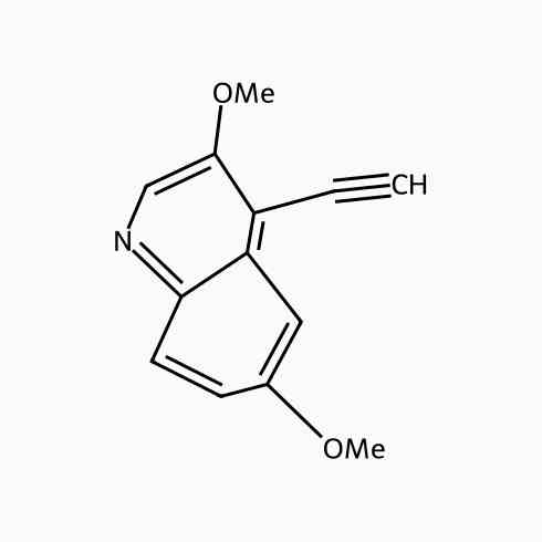 C#Cc1c(OC)cnc2ccc(OC)cc12